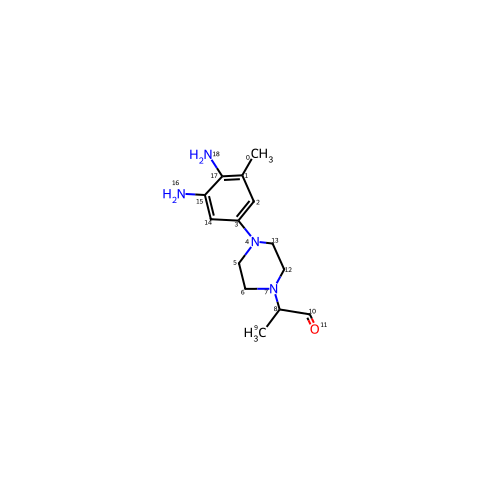 Cc1cc(N2CCN(C(C)C=O)CC2)cc(N)c1N